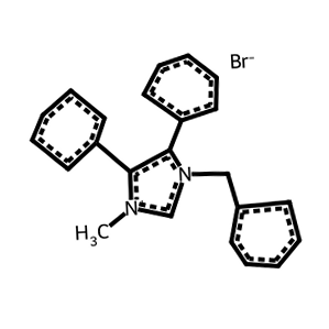 C[n+]1cn(Cc2ccccc2)c(-c2ccccc2)c1-c1ccccc1.[Br-]